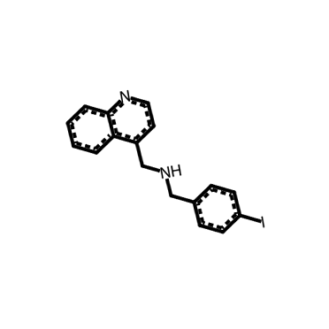 Ic1ccc(CNCc2ccnc3ccccc23)cc1